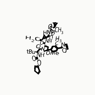 C=CC1C[C@]1(NC(=O)[C@@H]1C[C@@](OC)(c2ccc(-c3ncco3)c(C)c2)CN1C(=O)[C@@H](NC(=O)OC1CCCC1)C(C)(C)C)C(=O)NS(=O)(=O)C1(C)CC1